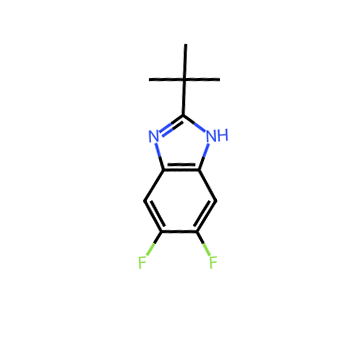 CC(C)(C)c1nc2cc(F)c(F)cc2[nH]1